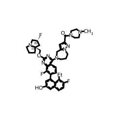 CCc1c(F)ccc2cc(O)cc(-c3ccc4c(N5CCCn6nc(C(=O)N7CCN(C)CC7)cc6C5)nc(OC[C@@]56CCCN5C[C@H](F)C6)nc4c3F)c12